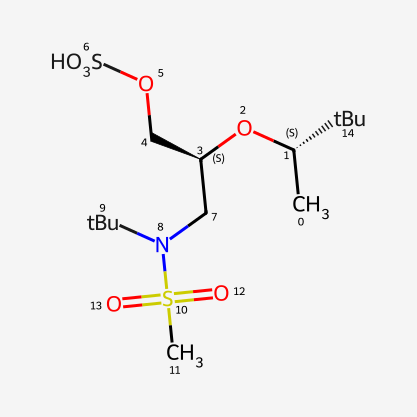 C[C@H](O[C@H](COS(=O)(=O)O)CN(C(C)(C)C)S(C)(=O)=O)C(C)(C)C